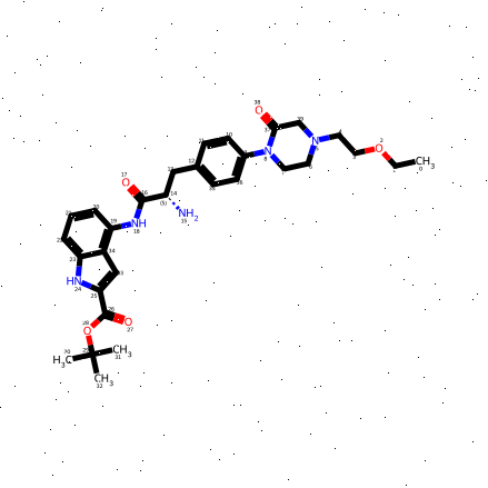 CCOCCN1CCN(c2ccc(C[C@H](N)C(=O)Nc3cccc4[nH]c(C(=O)OC(C)(C)C)cc34)cc2)C(=O)C1